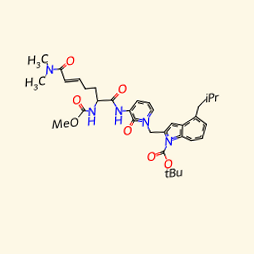 COC(=O)NC(CC/C=C/C(=O)N(C)C)C(=O)Nc1cccn(Cc2cc3c(CC(C)C)cccc3n2C(=O)OC(C)(C)C)c1=O